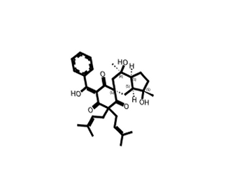 CC(C)=CCC1(CC=C(C)C)C(=O)C(=C(O)c2ccccc2)C(=O)[C@]2(C[C@H]3[C@H](CC[C@]3(C)O)[C@](C)(O)C2)C1=O